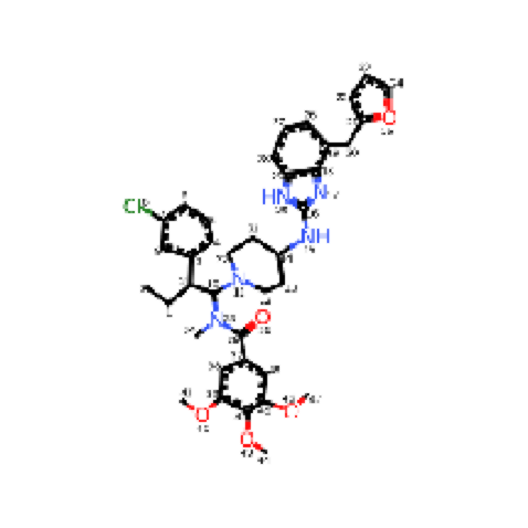 CCC(c1cccc(Cl)c1)C(N1CCC(Nc2nc3c(Cc4ccco4)cccc3[nH]2)CC1)N(C)C(=O)c1cc(OC)c(OC)c(OC)c1